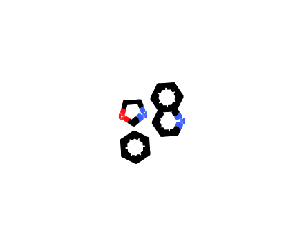 C1=NCCO1.[c]1ccccc1.c1ccc2ncccc2c1